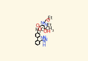 CCOCc1nc(C(=O)OCc2ccc(-c3ccccc3-c3nnn[nH]3)cc2)c(C(C)(C)O)n1CC